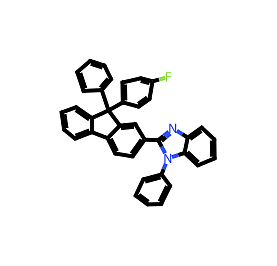 Fc1ccc(C2(c3ccccc3)c3ccccc3-c3ccc(-c4nc5ccccc5n4-c4ccccc4)cc32)cc1